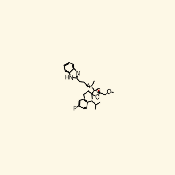 COCC(=O)OC1(C(C)[As](C)CCCc2nc3ccccc3[nH]2)CCc2cc(F)ccc2C1C(C)C